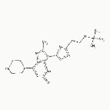 Cc1nn2c(C3CCNCC3)cc(=O)[nH]c2c1-c1nc(CCOC(C)(C)C)no1